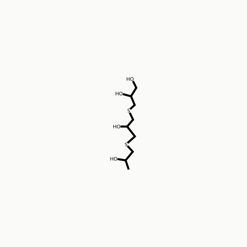 CC(O)CSCC(O)CSCC(O)CO